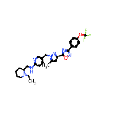 CCN1CCCCC1CNc1ccc(Cn2nc(-c3nc(-c4ccc(OC(F)(F)F)cc4)no3)cc2C)cn1